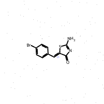 NC1=NC(=O)/C(=C/c2ccc(Br)cc2)S1